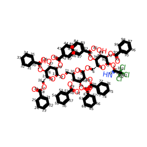 N=C(OC1O[C@H](CO[C@@H]2O[C@H](CO[C@@H]3O[C@H](COC(=O)c4ccccc4)[C@@H](OC(=O)c4ccccc4)[C@H](O)[C@H]3OC(=O)c3ccccc3)[C@@H](OC(=O)c3ccccc3)[C@H](OC(=O)c3ccccc3)[C@H]2OC(=O)c2ccccc2)[C@@H](OC(=O)c2ccccc2)[C@H](O)[C@H]1OC(=O)c1ccccc1)C(Cl)(Cl)Cl